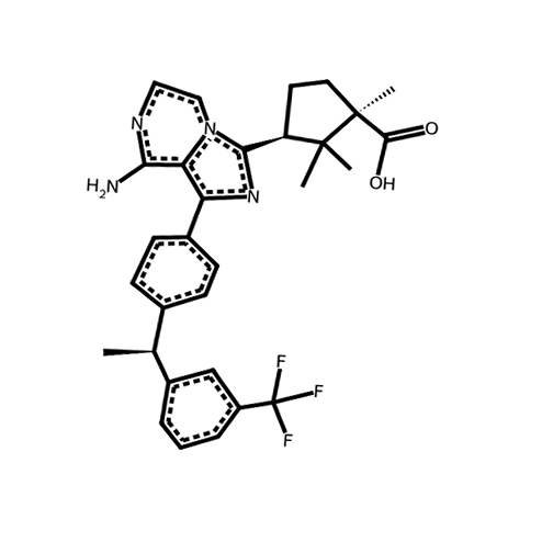 C[C@@H](c1ccc(-c2nc([C@H]3CC[C@@](C)(C(=O)O)C3(C)C)n3ccnc(N)c23)cc1)c1cccc(C(F)(F)F)c1